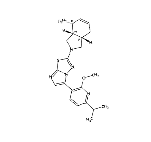 COc1nc(C(C)C)ccc1-c1cnc2sc(N3C[C@H]4CC=C[C@@H](N)[C@H]4C3)nn12